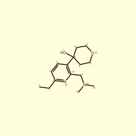 CCc1ccc(C2(O)CCOCC2)c(CN(C)C)n1